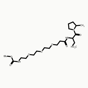 CC1CCCN1C(=O)C(CC(=O)O)NC(=O)CCOCCOCCOCCNC(=O)OC(C)(C)C